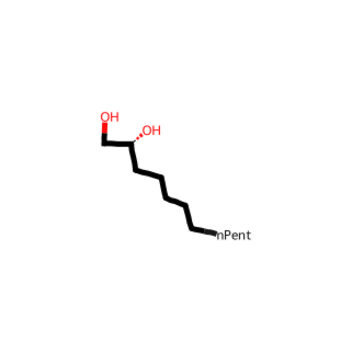 CCCCCCCCCC[C@@H](O)CO